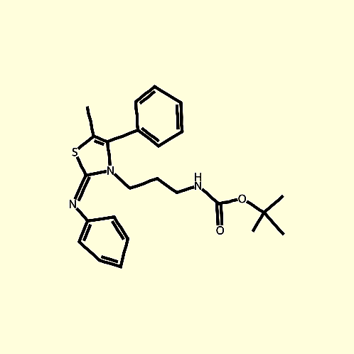 Cc1s/c(=N/c2ccccc2)n(CCCNC(=O)OC(C)(C)C)c1-c1ccccc1